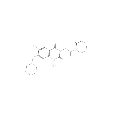 CC(C)n1c(=O)n(CC(=O)N2CCOCC2C(=O)O)c(=O)c2cc(F)c(NC3CCCCC3)cc21